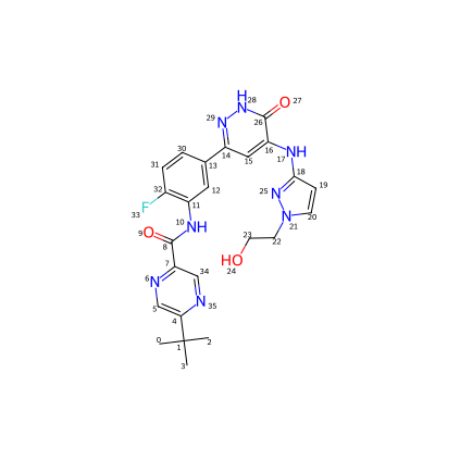 CC(C)(C)c1cnc(C(=O)Nc2cc(-c3cc(Nc4ccn(CCO)n4)c(=O)[nH]n3)ccc2F)cn1